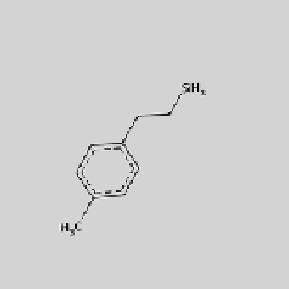 Cc1ccc(CC[SiH3])cc1